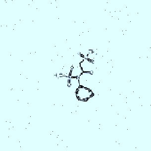 CS(=O)(=O)CC(=O)N(c1ccccc1)S(C)(=O)=O